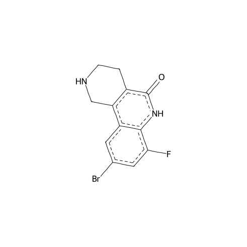 O=c1[nH]c2c(F)cc(Br)cc2c2c1CCNC2